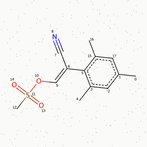 Cc1cc(C)c(C(C#N)=COS(C)(=O)=O)c(C)c1